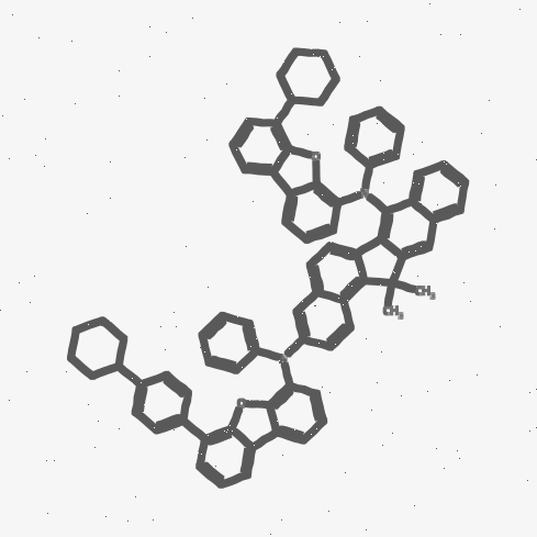 CC1(C)c2cc3ccccc3c(N(c3ccccc3)c3cccc4c3oc3c(C5CCCCC5)cccc34)c2-c2ccc3cc(N(c4ccccc4)c4cccc5c4oc4c(-c6ccc(C7CCCCC7)cc6)cccc45)ccc3c21